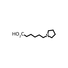 O=C(O)CCCCCN1CCCC1